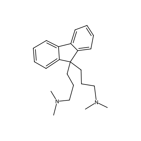 CN(C)CCCC1(CCCN(C)C)c2ccccc2-c2ccccc21